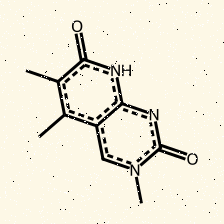 Cc1c(C)c2cn(C)c(=O)nc2[nH]c1=O